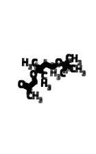 CC(=O)COC(C)(C)CCOC(C)(C)C